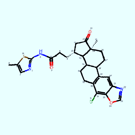 Cc1cnc(NC(=O)CC[C@@H]2CC(=O)[C@@]3(C)CCC4c5cc6ncoc6c(Cl)c5CCC4C23)s1